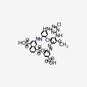 COc1cc(/N=N/c2cccc(S(=O)(=O)O)c2)ccc1Nc1nc(Cl)nc(Nc2ccc(/N=N/c3cc(S(=O)(=O)O)c4cccc(S(=O)(=O)O)c4c3)c(C)c2)n1